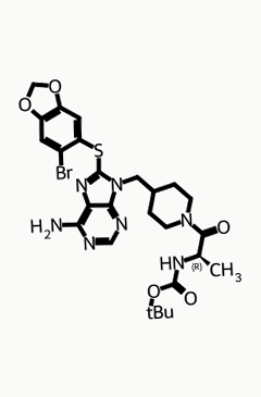 C[C@@H](NC(=O)OC(C)(C)C)C(=O)N1CCC(Cn2c(Sc3cc4c(cc3Br)OCO4)nc3c(N)ncnc32)CC1